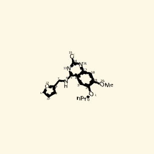 CCCOc1cc2c(NCc3ccco3)nc(Cl)nc2cc1OC